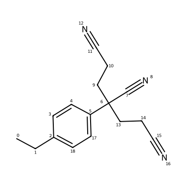 CCc1ccc(C(C#N)(CCC#N)CCC#N)cc1